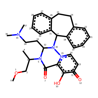 COCC(C)N1C(=O)c2c(O)c(=O)ccn2N(C2c3ccccc3CCc3ccccc32)C1CCN(C)C